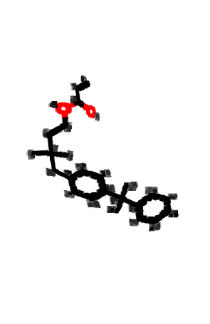 C=CC(=O)OCCC(C)(C)Cc1ccc(C(C)(C)c2ccccc2)cc1